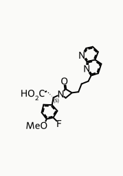 COc1ccc([C@H](CC(=O)O)N2CC(CCCc3ccc4cccnc4n3)C2=O)cc1F